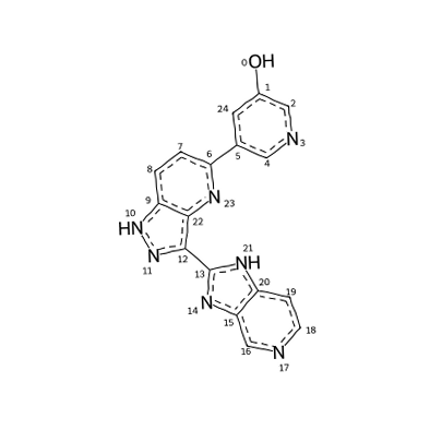 Oc1cncc(-c2ccc3[nH]nc(-c4nc5cnccc5[nH]4)c3n2)c1